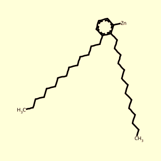 CCCCCCCCCCCCCCc1ccc[c]([Zn])c1CCCCCCCCCCCCCC